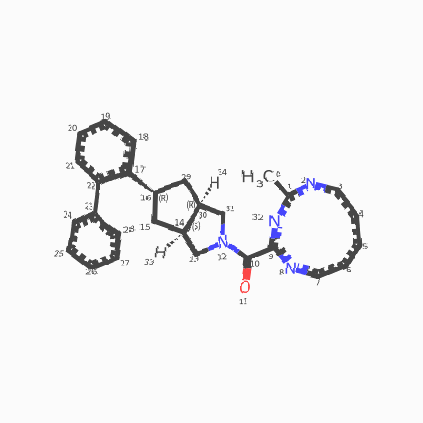 Cc1ncccccnc(C(=O)N2C[C@H]3C[C@@H](c4ccccc4-c4ccccc4)C[C@H]3C2)n1